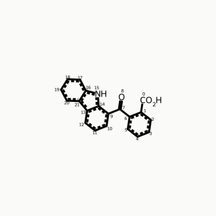 O=C(O)c1ccccc1C(=O)c1cccc2c1[nH]c1ccccc12